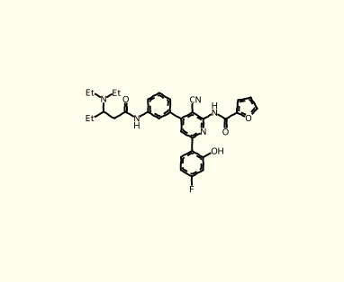 CCC(CC(=O)Nc1cccc(-c2cc(-c3ccc(F)cc3O)nc(NC(=O)c3ccco3)c2C#N)c1)N(CC)CC